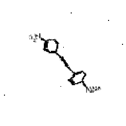 CNc1ccc(C#Cc2ccc([N+](=O)[O-])cc2)cc1